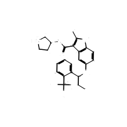 CCC(Oc1ccc2oc(C)c(C(=O)N[C@H]3CCNC3)c2c1)c1ccccc1C(F)(F)F